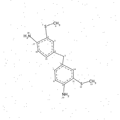 CSc1cc(Cc2ccc(N)c(SC)c2)ccc1N